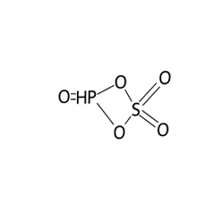 O=[PH]1OS(=O)(=O)O1